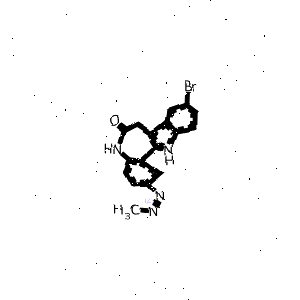 C/N=N\c1ccc2c(c1)-c1[nH]c3ccc(Br)cc3c1CC(=O)N2